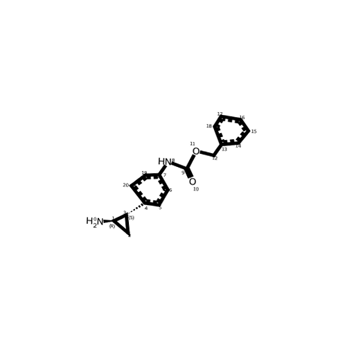 N[C@@H]1C[C@H]1c1ccc(NC(=O)OCc2ccccc2)cc1